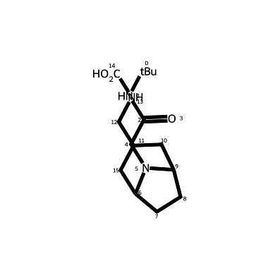 CC(C)(C)NC(=O)CN1C2CCC1CC(CNC(=O)O)C2